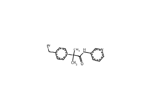 CC(C)Cc1ccc(C(C)(C)C(=O)Nc2cccnc2)cc1